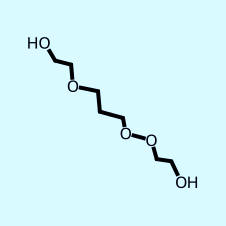 OCCOCCCOOCCO